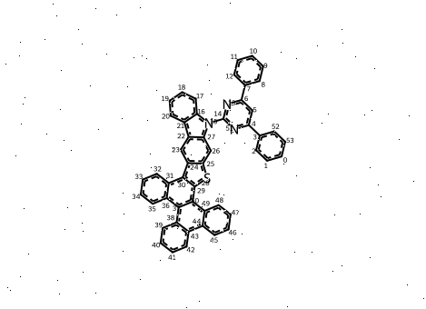 c1ccc(-c2cc(-c3ccccc3)nc(-n3c4ccccc4c4cc5c(cc43)sc3c5c4ccccc4c4c5ccccc5c5ccccc5c34)n2)cc1